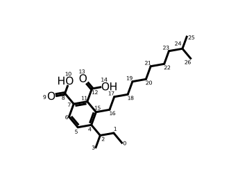 CCC(C)c1ccc(C(=O)O)c(C(=O)O)c1CCCCCCCCC(C)C